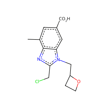 Cc1cc(C(=O)O)cc2c1nc(CCl)n2CC1CCO1